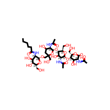 CCCCCC(=O)N[C@@H]1C(O)[C@H](O)[C@@H](CO)O[C@H]1OCC1(CO)CC(O)[C@@H](NC(C)=O)[C@H](O[C@H]2C(O)[C@@H](NC(C)=O)[C@H](O[C@H]3C(O)[C@@H](NC(C)=O)C(O)O[C@H]3CO)O[C@@H]2CO)O1